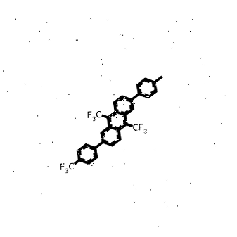 Cc1ccc(-c2ccc3c(C(F)(F)F)c4cc(-c5ccc(C(F)(F)F)cc5)ccc4c(C(F)(F)F)c3c2)cc1